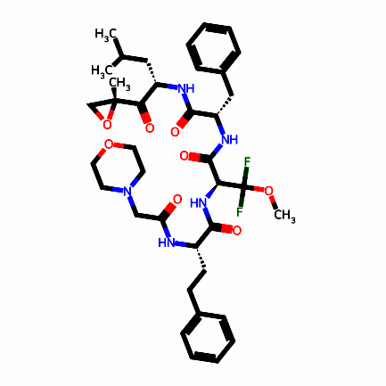 COC(F)(F)[C@@H](NC(=O)[C@H](CCc1ccccc1)NC(=O)CN1CCOCC1)C(=O)N[C@@H](Cc1ccccc1)C(=O)N[C@@H](CC(C)C)C(=O)[C@@]1(C)CO1